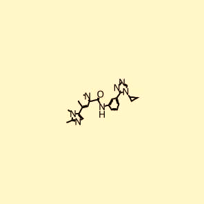 C/N=C(\C=C(/C)c1cnc(C)n1C)C(=O)Nc1cccc(-c2nncn2C2CC2)c1